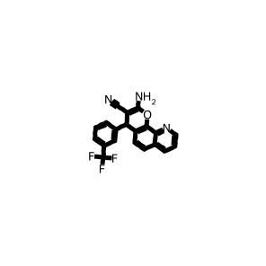 N#CC1=C(N)Oc2c(ccc3cccnc23)C1c1cccc(C(F)(F)F)c1